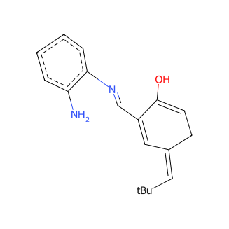 CC(C)(C)C=C1C=C(C=Nc2ccccc2N)C(O)=CC1